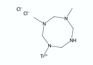 CN1CNC[N]([Ti+2])CN(C)C1.[Cl-].[Cl-]